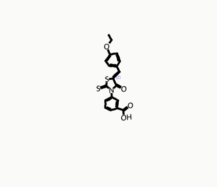 CCOc1ccc(/C=C2\SC(=S)N(c3cccc(C(=O)O)c3)C2=O)cc1